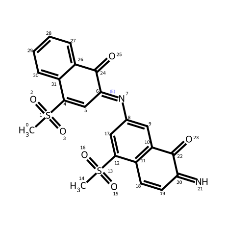 CS(=O)(=O)C1=C/C(=N\c2cc3c(c(S(C)(=O)=O)c2)C=CC(=N)C3=O)C(=O)c2ccccc21